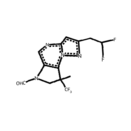 CC1(C(F)(F)F)CN(C=O)c2cnc3cc(CC(F)F)nn3c21